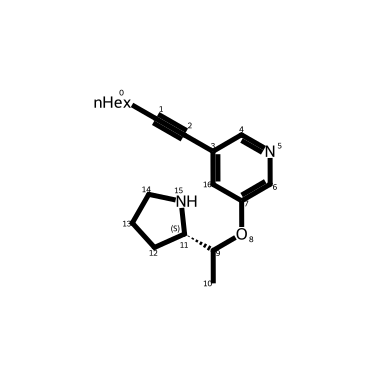 CCCCCCC#Cc1cncc(OC(C)[C@@H]2CCCN2)c1